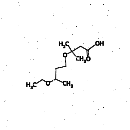 CCOC(C)CCOC(C)(C)CC(=O)O